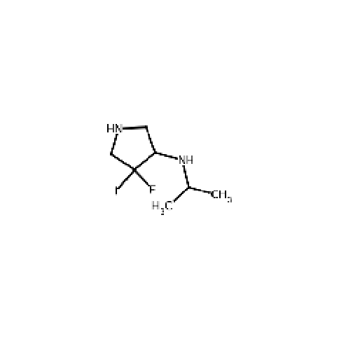 CC(C)NC1CNCC1(F)I